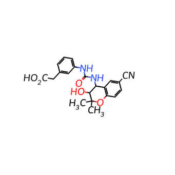 CC1(C)Oc2ccc(C#N)cc2C(NC(=O)Nc2cccc(CC(=O)O)c2)C1O